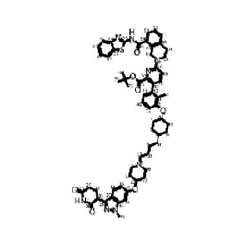 Cc1c(O[C@H]2CC[C@H](CCCCN3CCC(Oc4ccc5c(C6CCC(=O)NC6=O)nn(C)c5c4)CC3)CC2)cccc1-c1ccc(N2CCc3cccc(C(=O)Nc4nc5ccccc5s4)c3C2)nc1C(=O)OC(C)(C)C